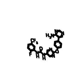 Nc1ncncc1-c1ccc(Oc2ncc(NC(=O)Nc3cc(C(F)(F)F)ccc3F)cn2)cc1